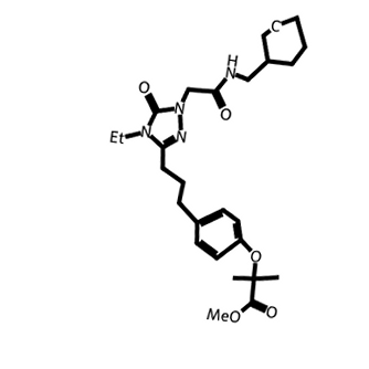 CCn1c(CCCc2ccc(OC(C)(C)C(=O)OC)cc2)nn(CC(=O)NCC2CCCCC2)c1=O